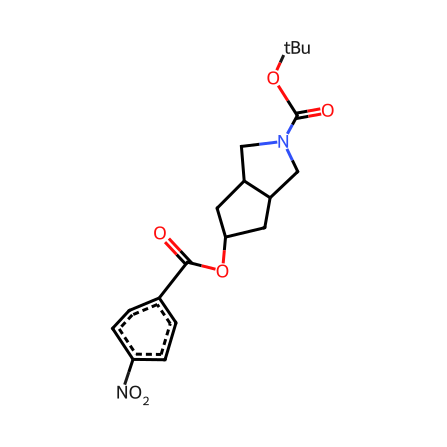 CC(C)(C)OC(=O)N1CC2CC(OC(=O)c3ccc([N+](=O)[O-])cc3)CC2C1